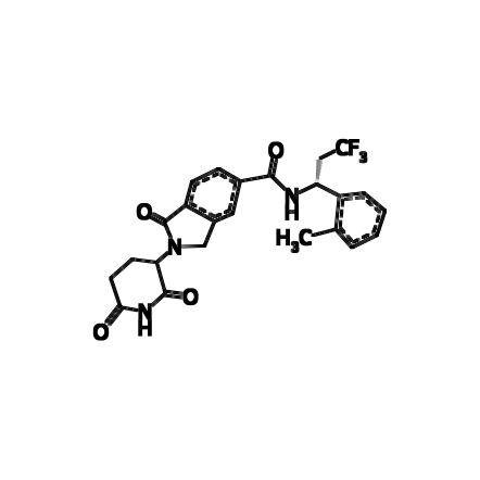 Cc1ccccc1[C@@H](CC(F)(F)F)NC(=O)c1ccc2c(c1)CN(C1CCC(=O)NC1=O)C2=O